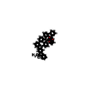 CC1(C)c2ccccc2-c2cc3c(cc21)c1ccccc1n3-c1cccc([Si](c2ccccc2)(c2ccccc2)c2cccc3c2N(c2ccccc2)C2=CC=CCC23)c1